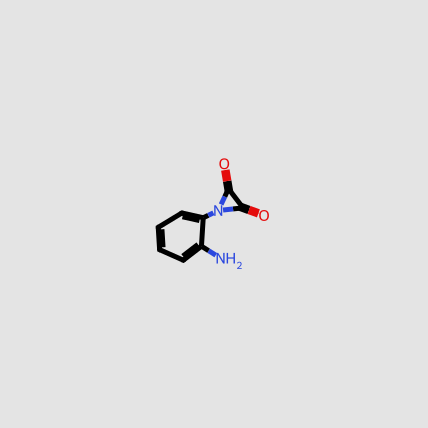 Nc1ccccc1-n1c(=O)c1=O